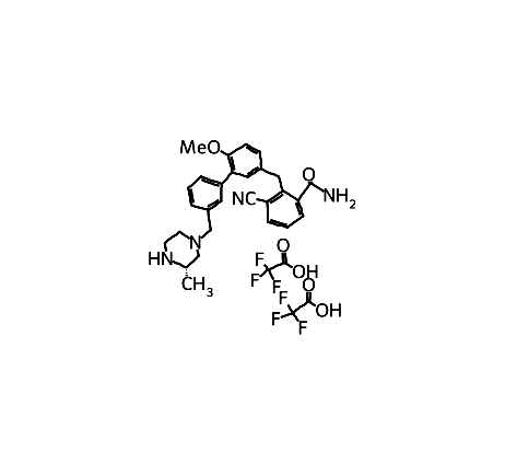 COc1ccc(Cc2c(C#N)cccc2C(N)=O)cc1-c1cccc(CN2CCN[C@@H](C)C2)c1.O=C(O)C(F)(F)F.O=C(O)C(F)(F)F